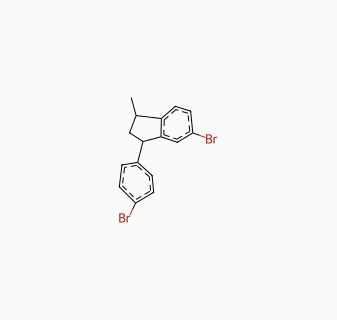 CC1CC(c2ccc(Br)cc2)c2cc(Br)ccc21